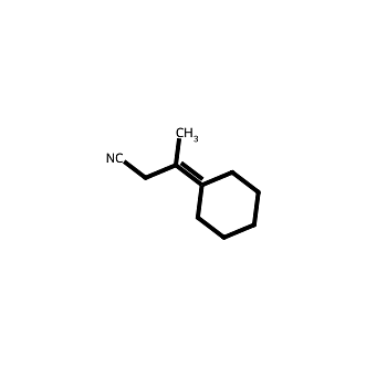 CC(CC#N)=C1CCCCC1